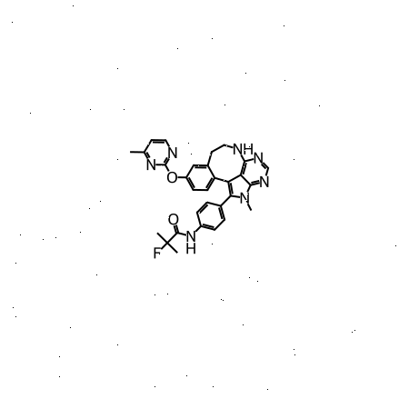 Cc1ccnc(Oc2ccc3c(c2)CCNc2ncnc4c2c-3c(-c2ccc(NC(=O)C(C)(C)F)cc2)n4C)n1